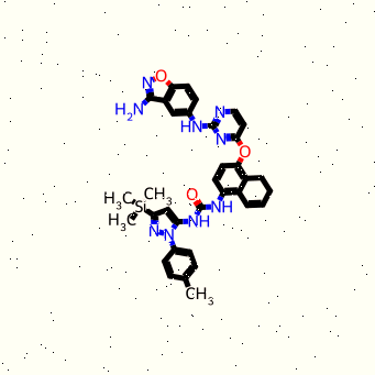 Cc1ccc(-n2nc([Si](C)(C)C)cc2NC(=O)Nc2ccc(Oc3ccnc(Nc4ccc5onc(N)c5c4)n3)c3c2C=CCC3)cc1